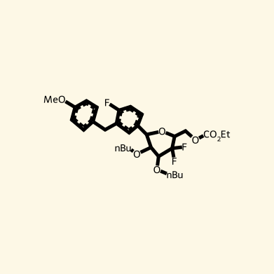 CCCCOC1C(c2ccc(F)c(Cc3ccc(OC)cc3)c2)OC(COC(=O)OCC)C(F)(F)C1OCCCC